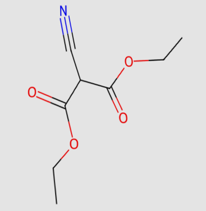 CCOC(=O)C(C#N)C(=O)OCC